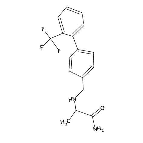 CC(NCc1ccc(-c2ccccc2C(F)(F)F)cc1)C(N)=O